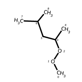 COOC(C)CC(C)C